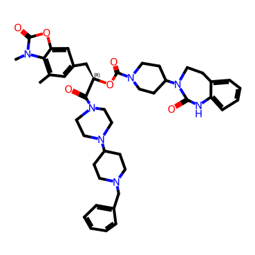 Cc1cc(C[C@@H](OC(=O)N2CCC(N3CCc4ccccc4NC3=O)CC2)C(=O)N2CCN(C3CCN(Cc4ccccc4)CC3)CC2)cc2oc(=O)n(C)c12